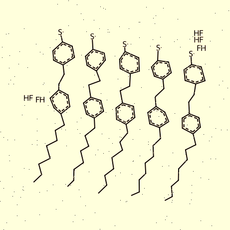 CCCCCCCCc1ccc(CCc2ccc([S])cc2)cc1.CCCCCCCCc1ccc(CCc2ccc([S])cc2)cc1.CCCCCCCCc1ccc(CCc2ccc([S])cc2)cc1.CCCCCCCCc1ccc(CCc2ccc([S])cc2)cc1.CCCCCCCCc1ccc(CCc2ccc([S])cc2)cc1.F.F.F.F.F